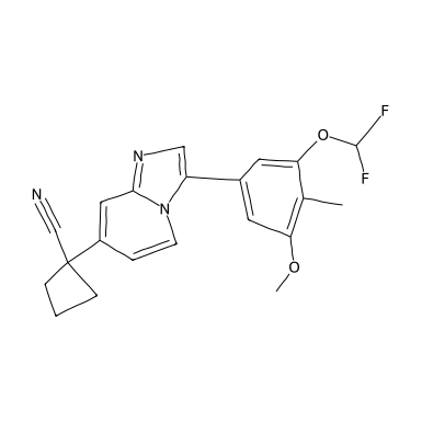 COc1cc(-c2cnc3cc(C4(C#N)CCC4)ccn23)cc(OC(F)F)c1C